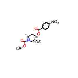 CC[C@H]1CN(C(=O)OC(C)(C)C)[C@H](C)C[C@@H]1OC(=O)c1ccc([N+](=O)[O-])cc1